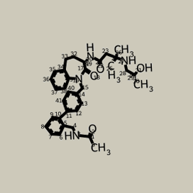 CC(=O)NCc1ccccc1-c1ccc(CN2C(=O)[C@H](NC(=O)CC(C)(C)NC[C@@H](C)O)CCc3ccccc32)cc1